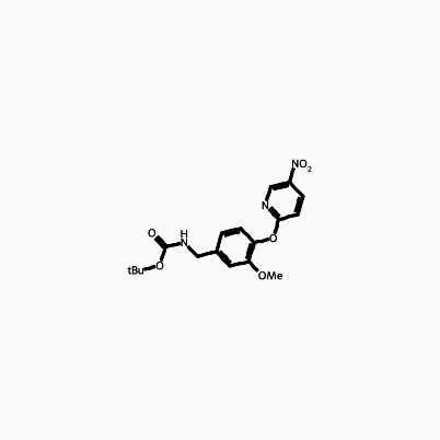 COc1cc(CNC(=O)OC(C)(C)C)ccc1Oc1ccc([N+](=O)[O-])cn1